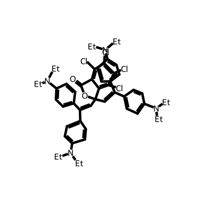 CCN(CC)c1ccc(C(=CC2(C=C(c3ccc(N(CC)CC)cc3)c3ccc(N(CC)CC)cc3)OC(=O)c3c(Cl)c(Cl)c(Cl)c(Cl)c32)c2ccc(N(CC)CC)cc2)cc1